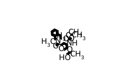 C[C@@H](CO)O[C@H]1CO[C@@H](C(=O)N2CCc3ccccc3[C@@H]2C)C[C@@H]1NC(=O)OC(C)(C)C